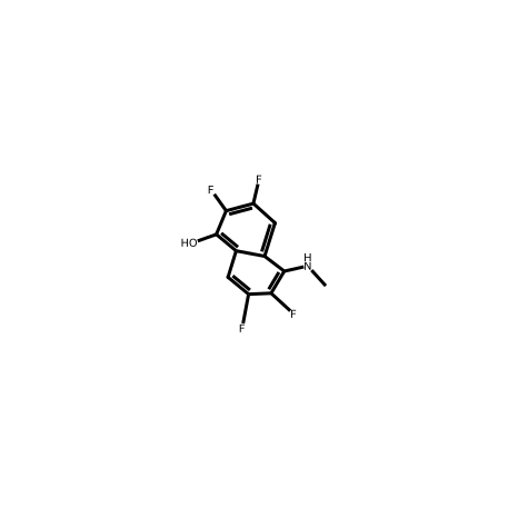 CNc1c(F)c(F)cc2c(O)c(F)c(F)cc12